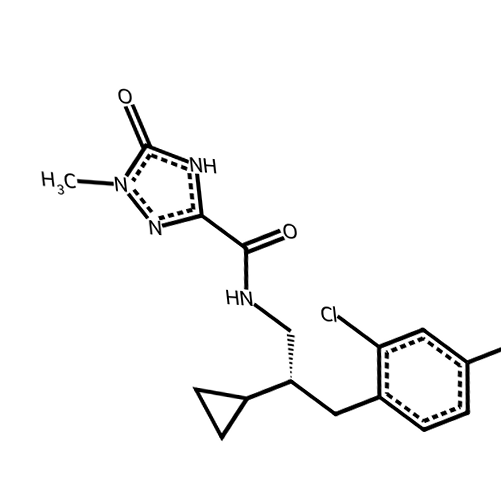 Cn1nc(C(=O)NC[C@H](Cc2ccc(F)cc2Cl)C2CC2)[nH]c1=O